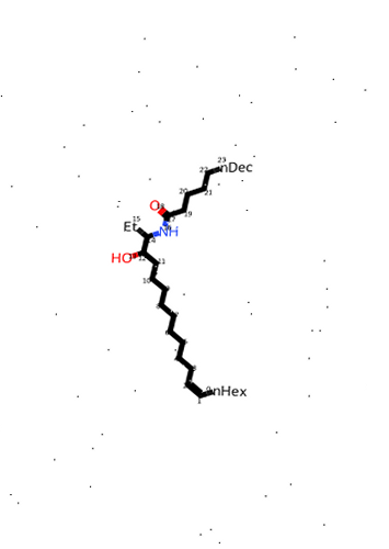 CCCCCC/C=C\CCCCCCCCCC(O)C(CC)NC(=O)CCCCCCCCCCCCCC